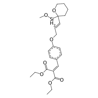 CCOC(=O)C(=Cc1ccc(OCC=CC2([SiH2]OC)CCCCO2)cc1)C(=O)OCC